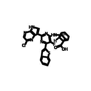 O=C(O)C1C2CCC(CC2)[C@H]1Nc1nc(-c2c[nH]c3ncc(Cl)nc23)nc(-c2cc3ccccc3s2)c1F